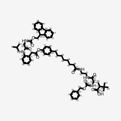 CC(C)C[C@H](NC(=O)OCC1c2ccccc2-c2ccccc21)C(=O)Nc1ccccc1CC(=O)Oc1ccc(CCCCCCCC(=O)NCCNC(=O)[C@H](CC(C(=O)O)C(C)(C)C)NC(=O)OCc2ccccc2)cc1